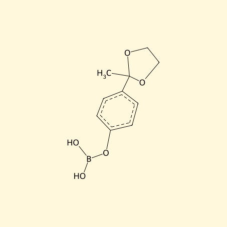 CC1(c2ccc(OB(O)O)cc2)OCCO1